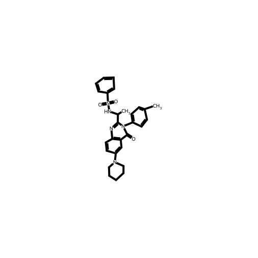 Cc1ccc(-n2c(C(C)NS(=O)(=O)c3ccccc3)nc3ccc(N4CCCCC4)cc3c2=O)cc1